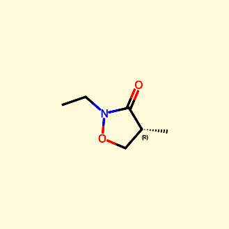 CCN1OC[C@@H](C)C1=O